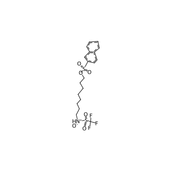 O=S(=O)(OCCCCCCCC[NH+]([O-])S(=O)(=O)C(F)(F)F)c1ccc2ccccc2c1